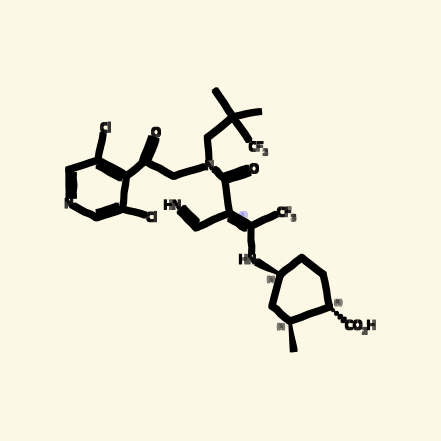 C[C@H]1C[C@@H](N/C(=C(\C=N)C(=O)N(CC(=O)c2c(Cl)cncc2Cl)CC(C)(C)C(F)(F)F)C(F)(F)F)CC[C@@H]1C(=O)O